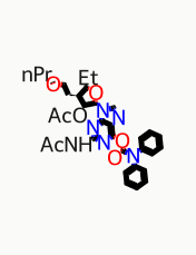 CCCOCC[C@H]1[C@@H](OC(C)=O)[C@H](n2cnc3c(OC(=O)N(c4ccccc4)c4ccccc4)nc(NC(C)=O)nc32)O[C@@H]1CC